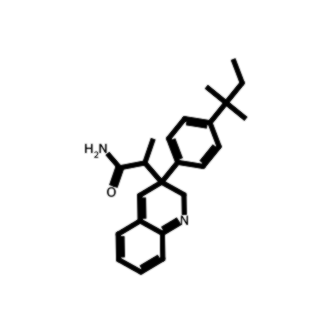 CCC(C)(C)c1ccc(C2(C(C)C(N)=O)C=c3ccccc3=NC2)cc1